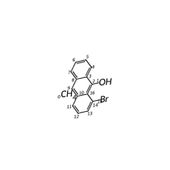 C.Oc1c2ccccc2cc2cccc(Br)c12